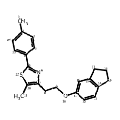 Cc1ccc(-c2nc(CCOc3ccc4c(c3)CCC4)c(C)s2)cc1